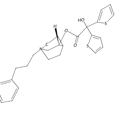 O=C(O[C@H]1C[N+]2(CCCc3ccccc3)CCC1CC2)C(O)(c1cccs1)c1cccs1